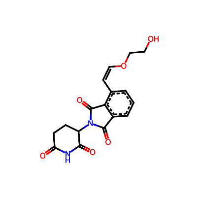 O=C1CCC(N2C(=O)c3cccc(/C=C\OCCO)c3C2=O)C(=O)N1